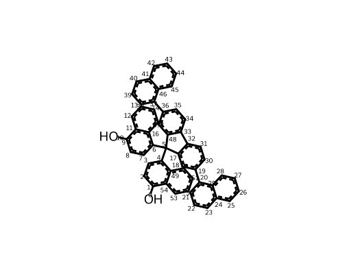 Oc1ccc(C2(c3ccc(O)c4ccccc34)c3cc(-c4cccc5ccccc45)ccc3-c3ccc(-c4cccc5ccccc45)cc32)c2ccccc12